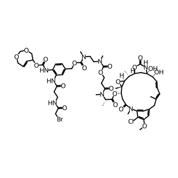 COc1cc2cc(c1Cl)N(C)C(=O)C[C@H](OC(=O)[C@H](C)N(C)C(=O)CCOC(=O)N(C)CCN(C)C(=O)OCc1ccc(NC(=O)OC3/C=C/COCOC3)c(NC(=O)CCNC(=O)CBr)c1)[C@]1(C)O[C@H]1[C@H](C)[C@@H]1C[C@@](O)(NC(=O)O1)[C@H](O)/C=C/C=C(\C)C2